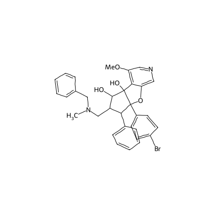 COc1cncc2c1C1(O)C(O)C(CN(C)Cc3ccccc3)C(c3ccccc3)C1(c1ccc(Br)cc1)O2